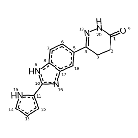 O=C1CCC(c2ccc3[nH]c(-c4ccc[nH]4)nc3c2)=NN1